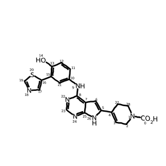 O=C(O)N1CC=C(c2cc3c(Nc4ccc(O)c(-c5cncs5)c4)ncnc3[nH]2)CC1